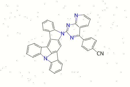 N#Cc1ccc(-c2nc(-n3c4ccccc4c4c5c6ccccc6n6c7ccccc7c(cc43)c56)nc3ncccc23)cc1